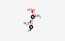 Cc1cc(SCC(C)Oc2ccc(CF)cc2)ccc1OCC(=O)O